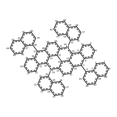 c1ccc2c(-c3c4ccccc4c4c5c6c(ccc35)n(-c3cccc5ccccc35)c3c5ccccc5c(-c5cccc7ccccc57)c5ccc(c-6c53)n4-c3cccc4ccccc34)cccc2c1